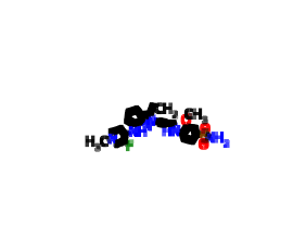 C=Cc1c2cccc(N[C@@H]3CCN(C)C[C@@H]3F)c2nn1C#CCNc1ccc(S(N)(=O)=O)cc1OC